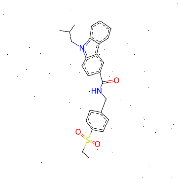 CCS(=O)(=O)c1ccc(CNC(=O)c2ccc3c(c2)c2ccccc2n3CC(C)C)cc1